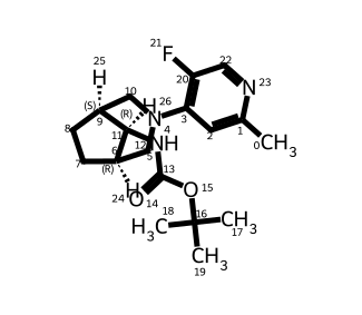 Cc1cc(N2C[C@H]3CC[C@@H](C2)[C@H]3NC(=O)OC(C)(C)C)c(F)cn1